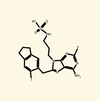 CC(C)S(=O)(=O)NCCCn1c(Cc2cc3c(cc2I)CCC3)nc2c(N)nc(F)nc21